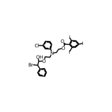 O=C(OCCN(CCOC(O)C(Br)c1ccccc1)c1cccc(Cl)c1)c1c(I)cc(I)cc1I